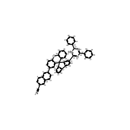 N#Cc1ccc2cc(-c3ccc4c(c3)C3(c5ccccc5O4)c4ccccc4-c4ccc(C5=NC(c6ccccc6)=NC(c6ccccc6)N5)cc43)ccc2c1